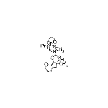 CC(C)N(SN(C)C(=O)OC1=C2OC=CC=C2CC1(C)C)P1(=O)OCCCO1